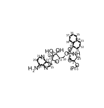 CC(C)OC(=O)C(C)NP(=S)(OC[C@H]1O[C@@H](n2cnc3c(N)ccnc32)[C@](C)(O)[C@@H]1O)Oc1cccc2ccccc12